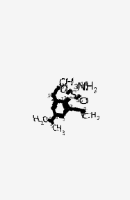 CCc1cc(C(C)C)cc(CC)c1S(N)(=O)=O